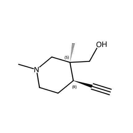 C#C[C@H]1CCN(C)C[C@@]1(C)CO